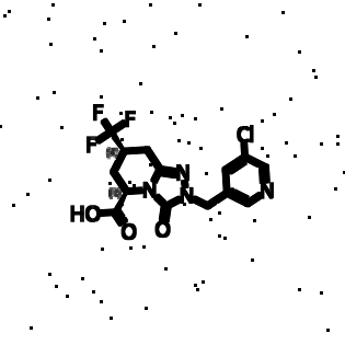 O=C(O)[C@H]1C[C@@H](C(F)(F)F)Cc2nn(Cc3cncc(Cl)c3)c(=O)n21